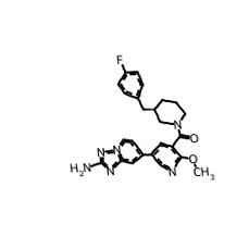 COc1ncc(-c2ccn3nc(N)nc3c2)cc1C(=O)N1CCC[C@H](Cc2ccc(F)cc2)C1